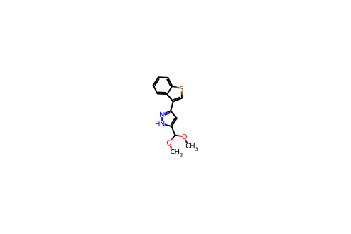 COC(OC)c1cc(-c2csc3ccccc23)n[nH]1